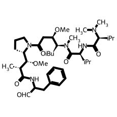 CC[C@H](C)[C@@H]([C@@H](CC(=O)N1CCC[C@H]1[C@H](OC)[C@@H](C)C(=O)NC(C=O)Cc1ccccc1)OC)N(C)C(=O)[C@@H](NC(=O)[C@H](C(C)C)N(C)C)C(C)C